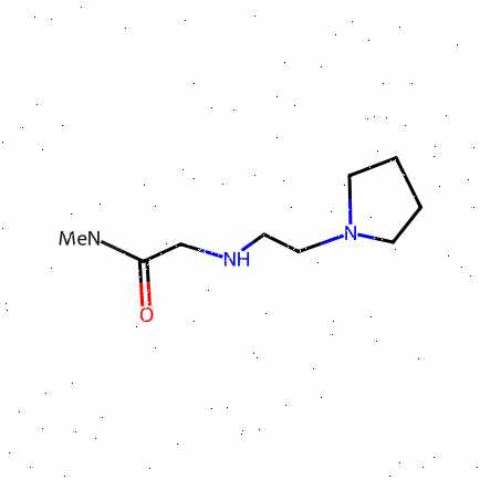 CNC(=O)CNCCN1CCCC1